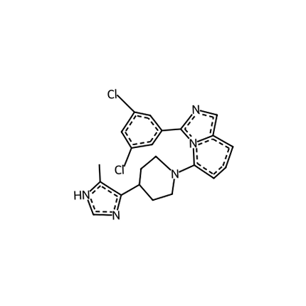 Cc1[nH]cnc1C1CCN(c2cccc3cnc(-c4cc(Cl)cc(Cl)c4)n23)CC1